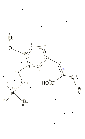 CCOc1ccc(/C=C(/OC(C)C)C(=O)O)cc1CO[Si](C)(C)C(C)(C)C